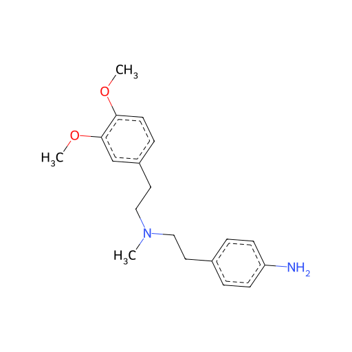 COc1ccc(CCN(C)CCc2ccc(N)cc2)cc1OC